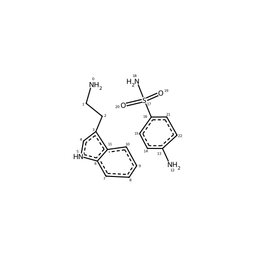 NCCc1c[nH]c2ccccc12.Nc1ccc(S(N)(=O)=O)cc1